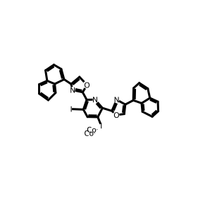 Ic1cc(I)c(-c2nc(-c3cccc4ccccc34)co2)nc1-c1nc(-c2cccc3ccccc23)co1.[Co].[Co]